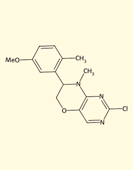 COc1ccc(C)c(C2COc3cnc(Cl)nc3N2C)c1